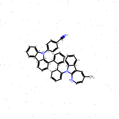 CC1=Cc2c(n(C3=CC=CCC3c3ccccc3-c3cccc4c5ccccc5n(-c5ccc(C#N)cc5)c34)c3ccccc23)NC=C1